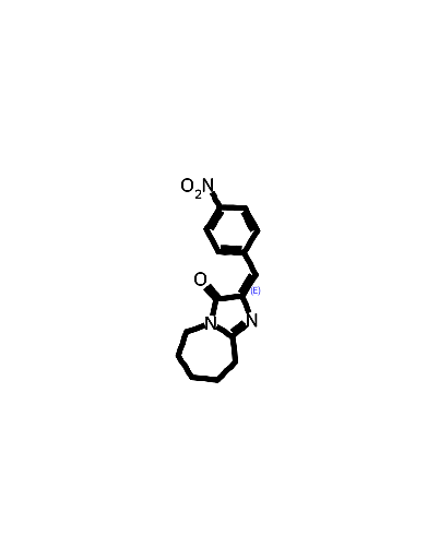 O=C1/C(=C\c2ccc([N+](=O)[O-])cc2)N=C2CCCCCN12